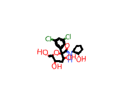 O=C(N[C@H]1CCC[C@@H]1O)C1(c2cc(Cl)cc(Cl)c2)OC(CO)C(O)CC1O